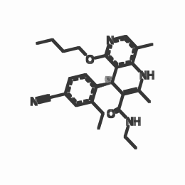 CCCCOc1ncc(C)c2c1[C@H](c1ccc(C#N)cc1CC)C(C(=O)NCC)=C(C)N2